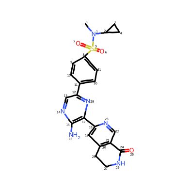 CN(C1CC1)S(=O)(=O)c1ccc(-c2cnc(N)c(-c3cc4c(cn3)C(=O)NCC4)n2)cc1